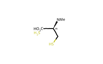 CN[C@@H](CS)C(=O)O.S